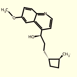 [CH2][C@H]1CC[C@@H]1CC[C@@H](O)c1ccnc2ccc(OC)cc12